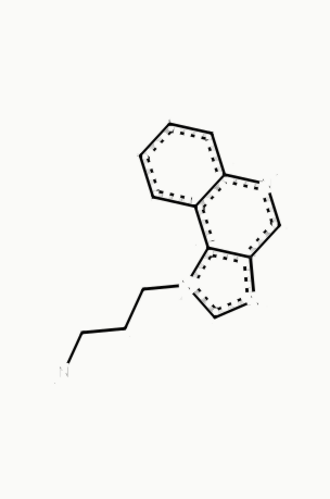 NCCCn1cnc2cnc3ccccc3c21